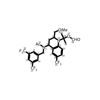 COCC1CC(N(Cc2cc(C(F)(F)F)cc(C(F)(F)F)c2)C(C)=O)c2cc(C(F)(F)F)ccc2N1C(C)(C)OC=O